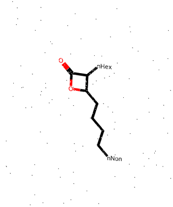 CCCCCCCCCCC[CH]CC1OC(=O)C1CCCCCC